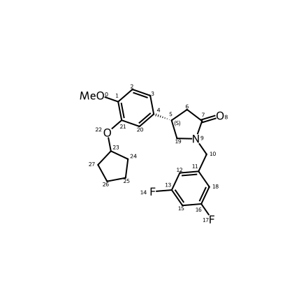 COc1ccc([C@@H]2CC(=O)N(Cc3cc(F)cc(F)c3)C2)cc1OC1CCCC1